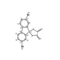 C=CCS1(CC=C)c2cc(Br)ccc2-c2ccc(Br)cc21